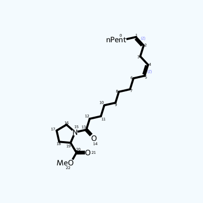 CCCCC/C=C\C/C=C\CCCCCCCC(=O)N1CCCC1C(=O)OC